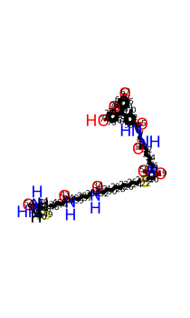 Cc1cc(C(=O)NCCNC(=O)CCCCCN2C(=O)CC(SCCCCCCCCCCC(=O)NCCCCCNC(=O)CCCC[C@@H]3SC[C@@H]4NC(=O)N[C@@H]43)C2=O)ccc1-c1c2ccc(=O)cc-2oc2cc(O)ccc12